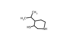 CC(C)C1CCNCC1S